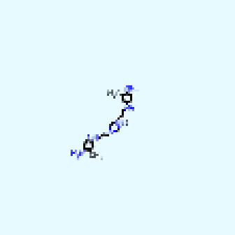 CC[N+]1(CCCNc2ccc(N)c(C)c2)CCN(CCCNc2ccc(N)c(C)c2)CC1